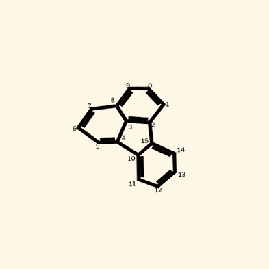 [c]1cc2c3c([c]ccc3c1)-c1ccccc1-2